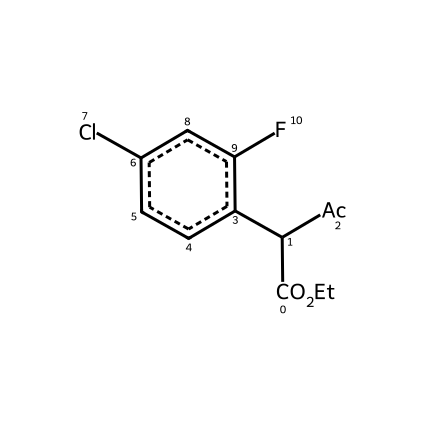 CCOC(=O)C(C(C)=O)c1ccc(Cl)cc1F